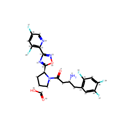 N[C@@H](CC(=O)N1CCC[C@H]1c1nc(-c2ncc(F)cc2F)no1)Cc1cc(F)c(F)cc1F.O=CO